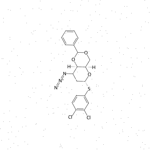 [N-]=[N+]=NC1C[C@@H](Sc2ccc(Cl)c(Cl)c2)O[C@@H]2COC(c3ccccc3)O[C@H]12